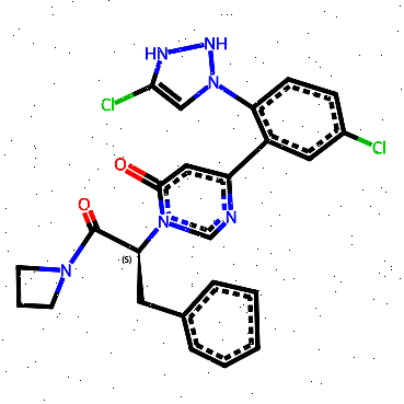 O=C([C@H](Cc1ccccc1)n1cnc(-c2cc(Cl)ccc2N2C=C(Cl)NN2)cc1=O)N1CCC1